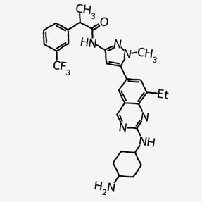 CCc1cc(-c2cc(NC(=O)C(C)c3cccc(C(F)(F)F)c3)nn2C)cc2cnc(NC3CCC(N)CC3)nc12